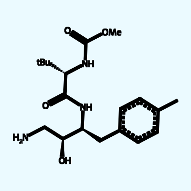 COC(=O)N[C@H](C(=O)N[C@@H](Cc1ccc(C)cc1)[C@@H](O)CN)C(C)(C)C